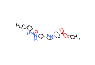 CCOC(=O)C1CCC(n2ccc(-c3ccc(NC(=O)Nc4cccc(C)c4)cc3)n2)CC1